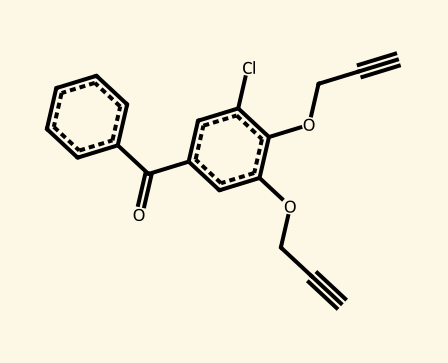 C#CCOc1cc(C(=O)c2ccccc2)cc(Cl)c1OCC#C